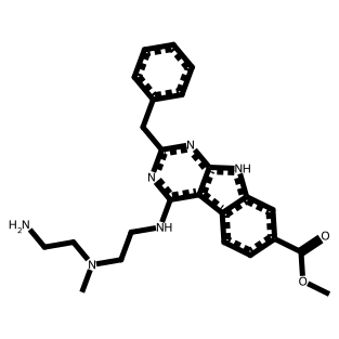 COC(=O)c1ccc2c(c1)[nH]c1nc(Cc3ccccc3)nc(NCCN(C)CCN)c12